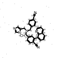 Cn1cncc1CN(Cc1ccc(C#N)cc1)Cc1ccc(C#N)c(-c2cccc3cccnc23)c1